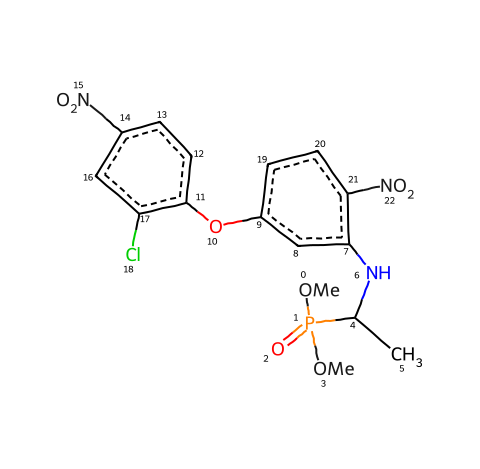 COP(=O)(OC)C(C)Nc1cc(Oc2ccc([N+](=O)[O-])cc2Cl)ccc1[N+](=O)[O-]